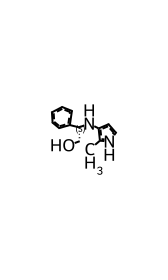 Cc1[nH]ccc1N[C@H](CO)c1ccccc1